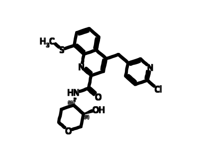 CSc1cccc2c(Cc3ccc(Cl)nc3)cc(C(=O)N[C@H]3CCOC[C@@H]3O)nc12